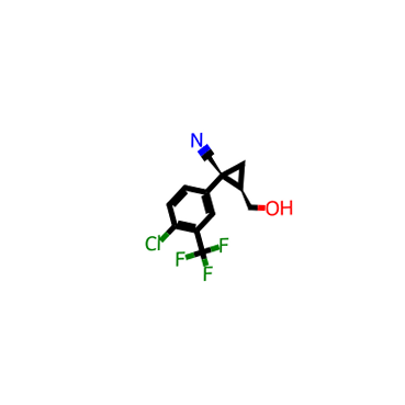 N#C[C@@]1(c2ccc(Cl)c(C(F)(F)F)c2)C[C@H]1CO